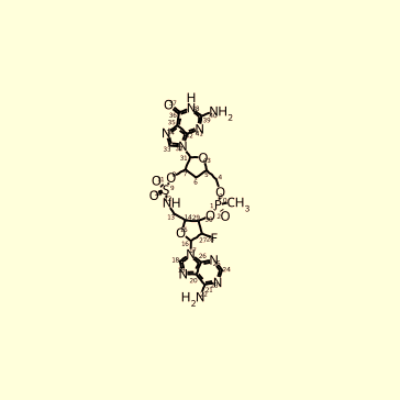 CP1(=O)OCC2CC(OS(=O)(=O)NCC3OC(n4cnc5c(N)ncnc54)C(F)C3O1)C(n1cnc3c(=O)[nH]c(N)nc31)O2